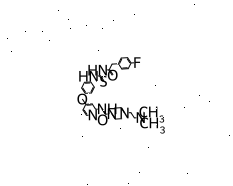 CN(C)CCN1CCN(C(=O)Nc2cc(Oc3ccc(NC(=S)NC(=O)Cc4ccc(F)cc4)cc3)ccn2)CC1